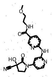 COCCNC(=O)c1ccc(Nc2cc(N3CC[C@](O)(C#N)C3=O)ccn2)nc1